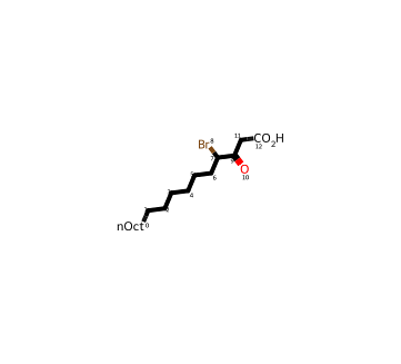 CCCCCCCCCCCCCCC(Br)C(=O)CC(=O)O